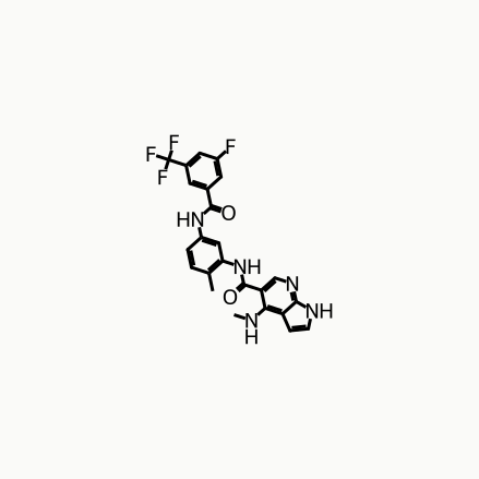 CNc1c(C(=O)Nc2cc(NC(=O)c3cc(F)cc(C(F)(F)F)c3)ccc2C)cnc2[nH]ccc12